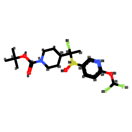 CC(C)(C)OC(=O)N1CCC(C(C)(F)[S+]([O-])c2ccc(OC(F)F)nc2)CC1